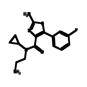 NCCN(C(=O)c1nc(N)sc1-c1cccc(F)c1)C1CC1